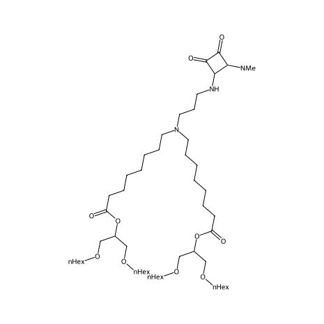 CCCCCCOCC(COCCCCCC)OC(=O)CCCCCCCN(CCCCCCCC(=O)OC(COCCCCCC)COCCCCCC)CCCNC1C(=O)C(=O)C1NC